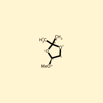 CO[C@@H]1COC(C)(C)O1